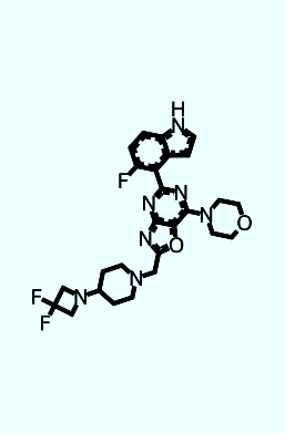 Fc1ccc2[nH]ccc2c1-c1nc(N2CCOCC2)c2oc(CN3CCC(N4CC(F)(F)C4)CC3)nc2n1